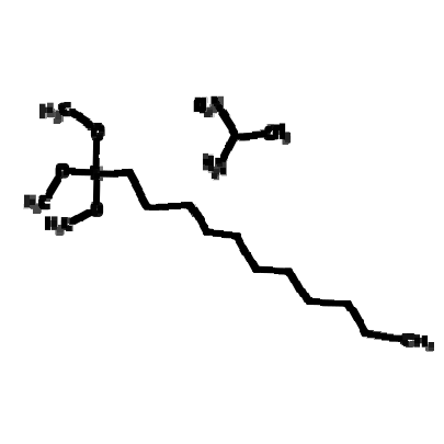 CC(N)N.CCCCCCCCCCC[Si](OC)(OC)OC